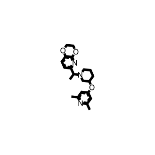 Cc1cc(OC2CCCN(C(C)c3ccc4c(n3)OCCO4)C2)cc(C)n1